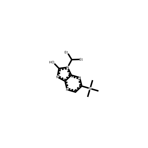 CCC(CC)n1c(O)nc2ncc([Si](C)(C)C)nc21